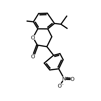 Cc1ccc(C(C)C)c2c1OC(=O)C(c1ccc([N+](=O)[O-])cc1)C2